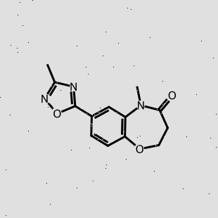 Cc1noc(-c2ccc3c(c2)N(C)C(=O)CCO3)n1